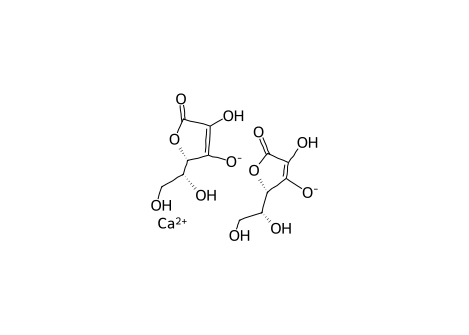 O=C1O[C@@H]([C@H](O)CO)C([O-])=C1O.O=C1O[C@@H]([C@H](O)CO)C([O-])=C1O.[Ca+2]